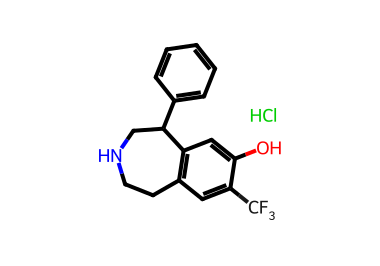 Cl.Oc1cc2c(cc1C(F)(F)F)CCNCC2c1ccccc1